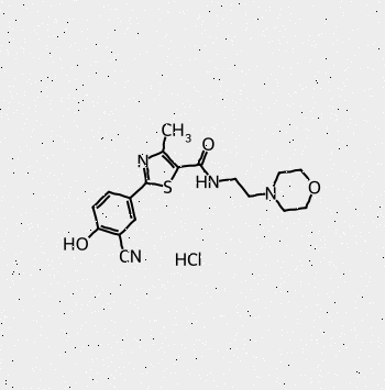 Cc1nc(-c2ccc(O)c(C#N)c2)sc1C(=O)NCCN1CCOCC1.Cl